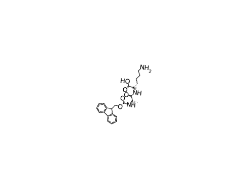 C[C@H](NC(=O)OCC1c2ccccc2-c2ccccc21)C(=O)N[C@@H](CCCCN)C(=O)O